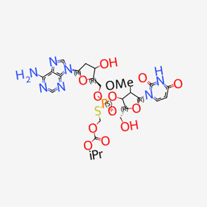 COC1C(O[P@](=O)(OC[C@H]2O[C@@H](n3cnc4c(N)ncnc43)CC2O)SCOC(=O)OC(C)C)[C@@H](CO)O[C@H]1n1ccc(=O)[nH]c1=O